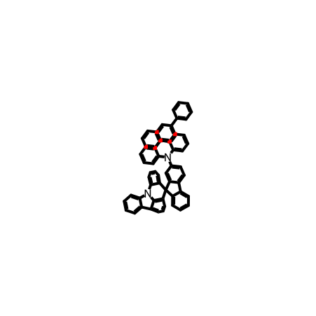 c1ccc(-c2ccc(-c3ccccc3N(c3ccc4c(c3)C3(c5ccccc5-4)c4ccccc4-n4c5ccccc5c5cccc3c54)c3ccccc3-c3ccccc3)cc2)cc1